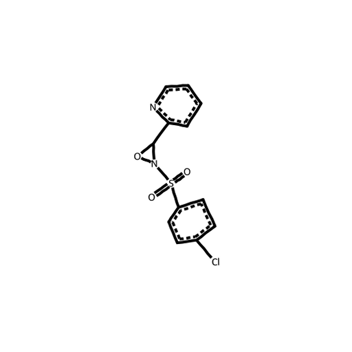 O=S(=O)(c1ccc(Cl)cc1)N1OC1c1ccccn1